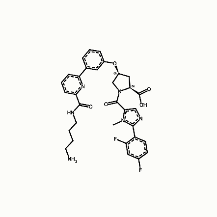 Cn1c(C(=O)N2C[C@@H](Oc3cccc(-c4cccc(C(=O)NCCCCN)n4)c3)C[C@H]2C(=O)O)cnc1-c1ccc(F)cc1F